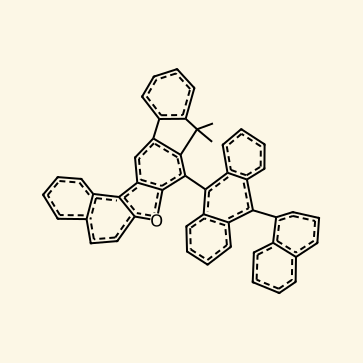 CC1(C)c2ccccc2-c2cc3c(oc4ccc5ccccc5c43)c(-c3c4ccccc4c(-c4cccc5ccccc45)c4ccccc34)c21